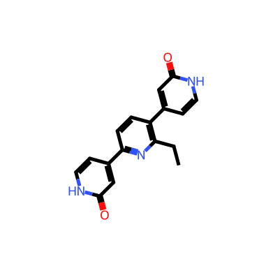 CCc1nc(-c2cc[nH]c(=O)c2)ccc1-c1cc[nH]c(=O)c1